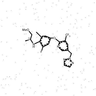 COC[C@H](C)Nc1c(C)cc(Oc2ncc(Cn3nccn3)cc2C(F)(F)F)cc1F